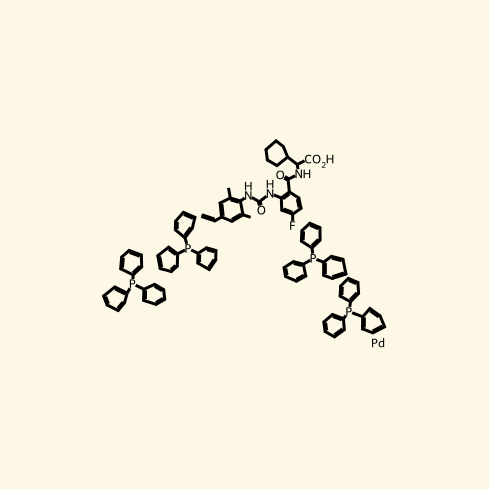 C=Cc1cc(C)c(NC(=O)Nc2cc(F)ccc2C(=O)NC(C(=O)O)C2CCCCC2)c(C)c1.[Pd].c1ccc(P(c2ccccc2)c2ccccc2)cc1.c1ccc(P(c2ccccc2)c2ccccc2)cc1.c1ccc(P(c2ccccc2)c2ccccc2)cc1.c1ccc(P(c2ccccc2)c2ccccc2)cc1